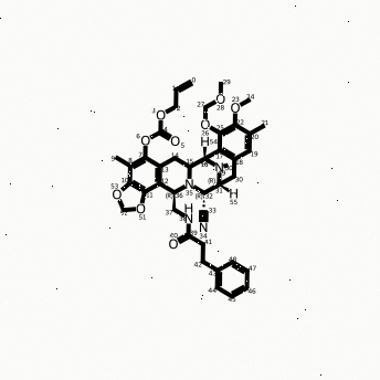 C=CCOC(=O)Oc1c(C)c2c(c3c1CC1[C@@H]4c5c(cc(C)c(OC)c5OCOC)C[C@H]([C@H](C#N)N1[C@H]3CNC(=O)CCc1ccccc1)N4C)OCO2